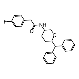 O=C(Cc1ccc(F)cc1)NC1CCC(C(c2ccccc2)c2ccccc2)OC1